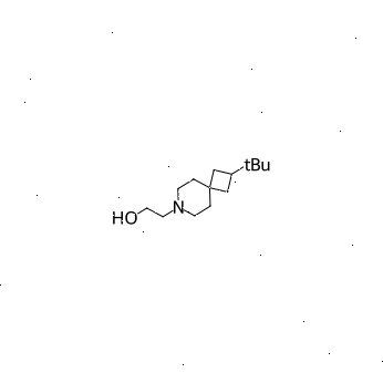 CC(C)(C)C1CC2(CCN(CCO)CC2)C1